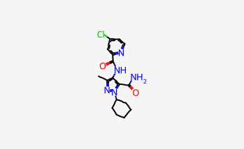 Cc1nn(C2CCCCC2)c(C(N)=O)c1NC(=O)c1cc(Cl)ccn1